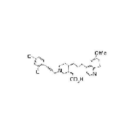 COc1ccc2nccc(CCC[C@@H]3CCN(CC#Cc4ccc(Cl)cc4Cl)C[C@@H]3CC(=O)O)c2c1